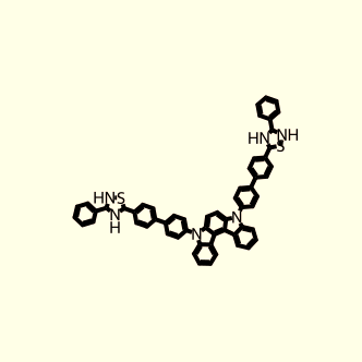 c1ccc(C2NSC(c3ccc(-c4ccc(-n5c6ccccc6c6c7c8ccccc8n(-c8ccc(-c9ccc(C%10NC(c%11ccccc%11)NS%10)cc9)cc8)c7ccc65)cc4)cc3)N2)cc1